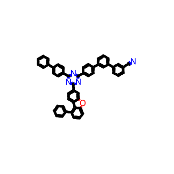 N#Cc1cccc(-c2cccc(-c3ccc(-c4nc(-c5ccc(-c6ccccc6)cc5)nc(-c5ccc6c(c5)oc5cccc(-c7ccccc7)c56)n4)cc3)c2)c1